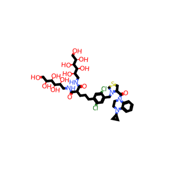 O=C(NC[C@@H](O)[C@H](O)[C@@H](O)[C@@H](O)CO)C(CCCc1cc(Cl)c(CN2CSCC2C(=O)N2CCN(C3CC3)c3ccccc32)cc1Cl)C(=O)NC[C@@H](O)[C@H](O)[C@@H](O)[C@@H](O)CO